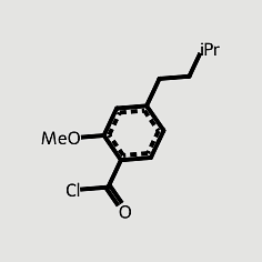 COc1cc(CCC(C)C)ccc1C(=O)Cl